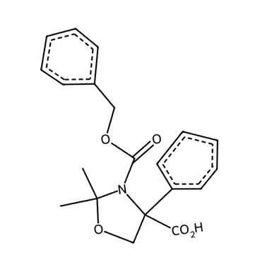 CC1(C)OCC(C(=O)O)(c2ccccc2)N1C(=O)OCc1ccccc1